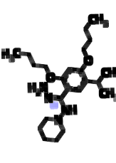 CCCCOc1cc(OCCCC)c(C(C)C)cc1/C(=N\N)NN1CCCCC1